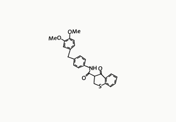 COc1ccc(Cc2ccc(NC(=O)C3CSc4ccccc4C3=O)cc2)cc1OC